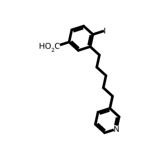 O=C(O)c1ccc(I)c(CCCCCc2cccnc2)c1